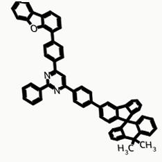 CC1(C)c2ccccc2C2(c3ccccc3-c3cc(-c4ccc(-c5cc(-c6ccc(-c7cccc8c7oc7ccccc78)cc6)nc(-c6ccccc6)n5)cc4)ccc32)c2ccccc21